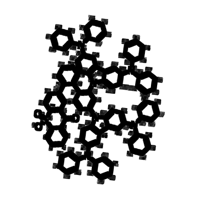 O=C1c2ccccc2S(=O)(=O)c2ccc(-c3ccccc3-c3ccc(-n4c5ccc(N(c6ccccc6)c6ccccc6)cc5c5cc(N(c6ccccc6)c6ccccc6)ccc54)cc3-n3c4ccc(N(c5ccccc5)c5ccccc5)cc4c4cc(N(c5ccccc5)c5ccccc5)ccc43)cc21